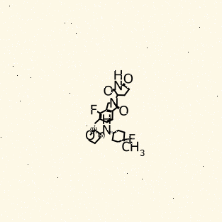 CC1(F)CCC(N[C@H]2CCCO[C@@H]2Cc2ccc3c(c2F)CN(C2CCC(=O)NC2=O)C3=O)CC1